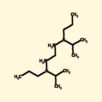 CCCN([SiH2]C[SiH2]N(CCC)C(C)C)C(C)C